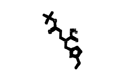 CCc1ccc(CN(CCC(=O)OC(C)(C)C)C(N)=S)s1